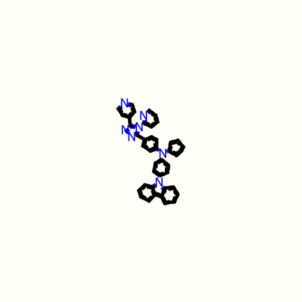 c1ccc(N(c2ccc(-c3nnc(-c4ccncc4)n3-c3ccccn3)cc2)c2ccc(-n3c4ccccc4c4ccccc43)cc2)cc1